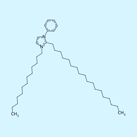 CCCCCCCCCCCCCCCCCCc1n(-c2ccccc2)cc[n+]1CCCCCCCCCCCCC